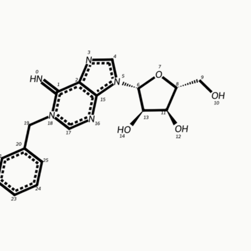 N=c1c2ncn([C@@H]3O[C@H](CO)[C@@H](O)[C@H]3O)c2ncn1Cc1ccccc1